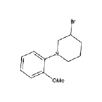 COc1ccccc1N1CCCC(Br)C1